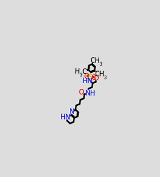 Cc1cc(C)c(S(=O)(=O)NC(C=O)CCNC(=O)CCCCc2ccc3c(n2)NCCC3)c(C)c1